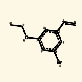 C=[C]c1cc(Br)cc(OCC)c1